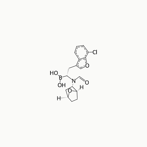 O=CN([C@@H](Cc1coc2c(Cl)cccc12)B(O)O)[C@H]1C[C@@H]2CC[C@H]1O2